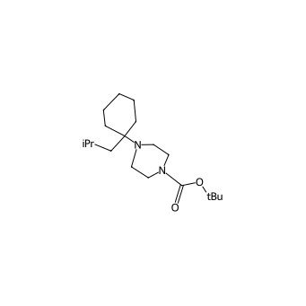 CC(C)CC1(N2CCN(C(=O)OC(C)(C)C)CC2)CCCCC1